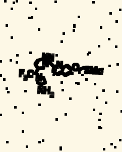 CSCCOc1ccc2ccc(-c3nnc4ccc([C@@H](N5CCC(N)C5)C(F)(F)F)cn34)nc2c1